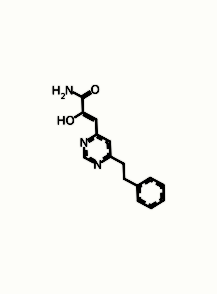 NC(=O)/C(O)=C/c1cc(CCc2ccccc2)ncn1